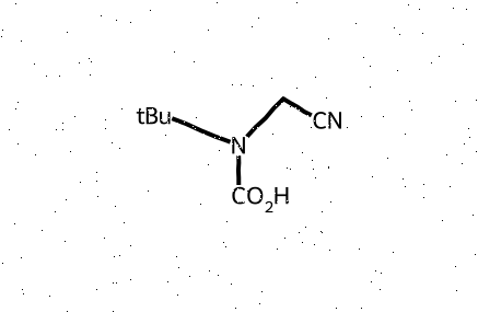 CC(C)(C)N(CC#N)C(=O)O